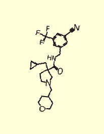 N#Cc1cc(CNC(=O)C2(CC3CC3)CCN(CC3CCOCC3)C2)cc(C(F)(F)F)c1